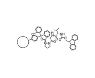 CC(C)[C@H](NC(=O)OCC1c2ccccc2-c2ccccc21)C(=O)N[C@@H](CC(=O)OC(c1ccccc1)(c1ccc(C2CCCCCCCCCC2)cc1)c1ccccc1Cl)C(=O)N1CCCC1